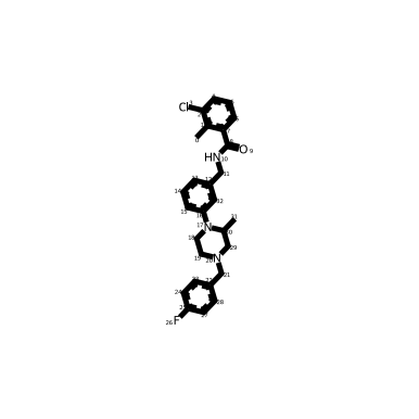 Cc1c(Cl)cccc1C(=O)NCc1cccc(N2CCN(Cc3ccc(F)cc3)CC2C)c1